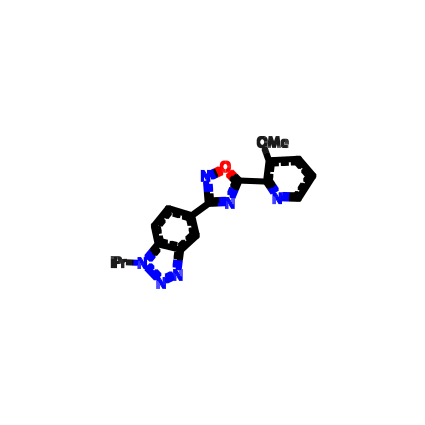 COc1cccnc1-c1nc(-c2ccc3c(c2)nnn3C(C)C)no1